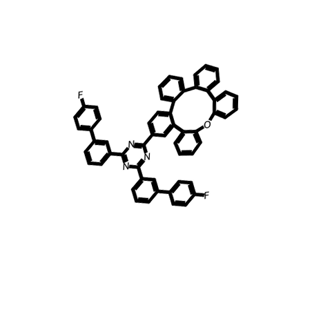 Fc1ccc(-c2cccc(-c3nc(-c4cccc(-c5ccc(F)cc5)c4)nc(-c4ccc5c(c4)-c4ccccc4Oc4ccccc4-c4ccccc4-c4ccccc4-5)n3)c2)cc1